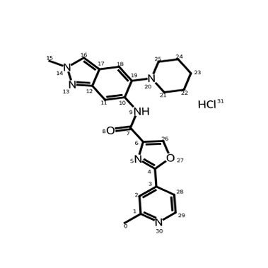 Cc1cc(-c2nc(C(=O)Nc3cc4nn(C)cc4cc3N3CCCCC3)co2)ccn1.Cl